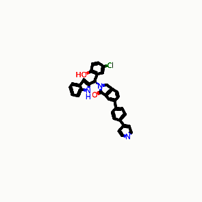 O=C1c2cc(-c3ccc(-c4ccncc4)cc3)ccc2CN1[C@@H](c1cc2ccccc2[nH]1)c1cc(Cl)ccc1O